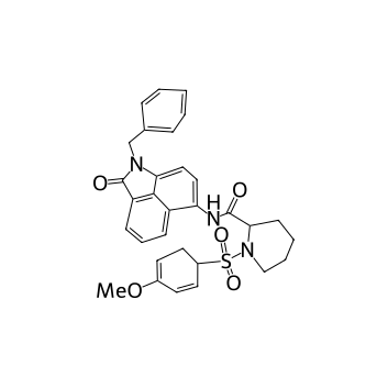 COC1=CCC(S(=O)(=O)N2CCCCC2C(=O)Nc2ccc3c4c(cccc24)C(=O)N3Cc2ccccc2)C=C1